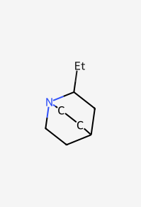 CCC1CC2CCN1CC2